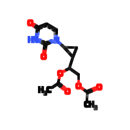 CC(=O)OCC(OC(C)=O)C1CC1n1ccc(=O)[nH]c1=O